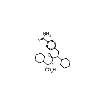 N=C(N)c1ccc(CC(C(=O)N[C@H](C(=O)O)C2CCCCC2)C2CCCCC2)cc1